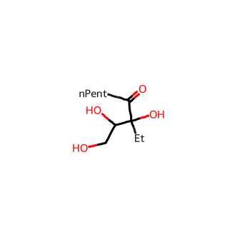 CCCCCC(=O)C(O)(CC)C(O)CO